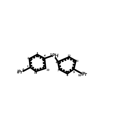 CC(C)c1ccc(Pc2ccc(C(C)C)cc2)cc1